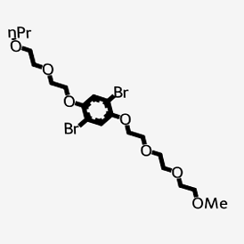 CCCOCCOCCOc1cc(Br)c(OCCOCCOCCOC)cc1Br